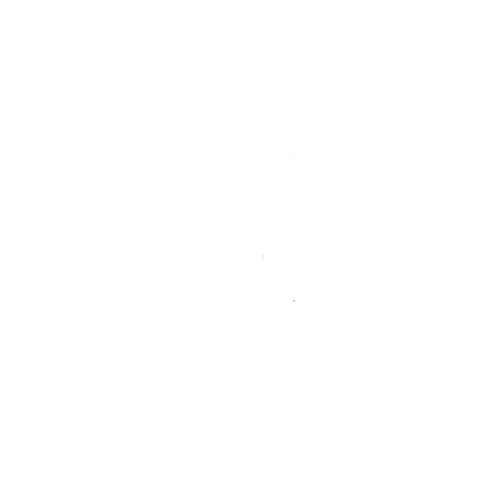 O=C(O)CNCP(=O)(Sc1cc(Cl)ccc1Cl)Sc1cc(Cl)ccc1Cl